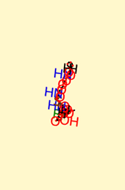 CCCC1O[C@@H]2CC3[C@@H]4C[C@H](F)C5=CC(=O)C=C[C@]5(C)[C@@]4(F)[C@@H](O)C[C@]3(C)[C@]2(C(=O)COC(=O)NCCSSC(C)(C)CC(=O)NCCOCCOCCOCCNC(=O)OC[C@@H]2[C@@H]3CC/C=C\CC[C@@H]32)O1